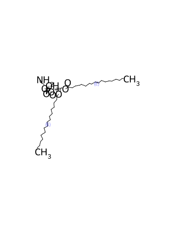 CCCCCCCC/C=C/CCCCCCCC(=O)OC[C@H](COP(=O)(O)OCCN)OC(=O)CCCCCCC/C=C/CCCCCCCC